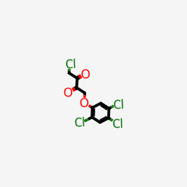 O=C(CCl)C(=O)COc1cc(Cl)c(Cl)cc1Cl